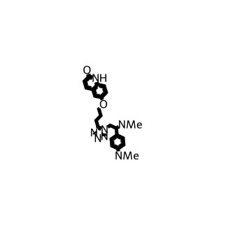 CNc1ccc(C(Cn2nnnc2CCCOc2ccc3[nH]c(=O)ccc3c2)NC)cc1